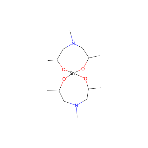 CC1CN(C)CC(C)[O][Sn]2([O]1)[O]C(C)CN(C)CC(C)[O]2